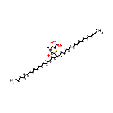 CCCCCCCCCCCCCCCCCCC(CCCCCCCCCCCCCCCCCC)C(SC(C)C(=O)O)C(=O)O